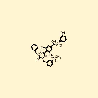 CS(=O)(=O)c1cccc(C[C@H](NC(=O)c2c(Cl)cc(C(O)CP(=O)(O)c3cccc(O)c3)cc2Cl)C(=O)OCc2ccccc2)c1